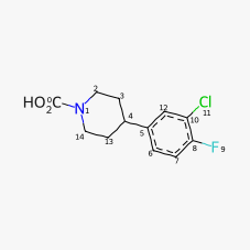 O=C(O)N1CCC(c2ccc(F)c(Cl)c2)CC1